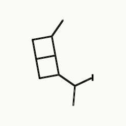 CC(I)C1CC2CC(C)C21